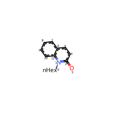 CCCCCCn1c(=O)ccc2ccccc21